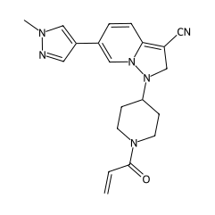 C=CC(=O)N1CCC(N2CC(C#N)=C3C=CC(c4cnn(C)c4)=CN32)CC1